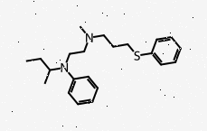 CCC(C)N(CCN(C)CCCSc1ccccc1)c1ccccc1